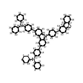 C1=CCCC(N(c2ccccc2)c2ccc(-c3ccc4c(c3)c3cc(-c5ccc(N(c6ccccc6)c6ccccc6)cc5)ccc3n4-c3ccc(-c4ccc5oc6ccccc6c5c4)cc3)cc2)=C1